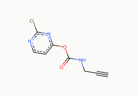 C#CCNC(=O)Oc1ccnc(Cl)n1